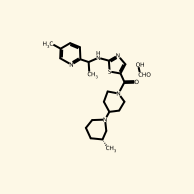 Cc1ccc(C(C)Nc2ncc(C(=O)N3CCC(N4CCC[C@@H](C)C4)CC3)s2)nc1.O=CO